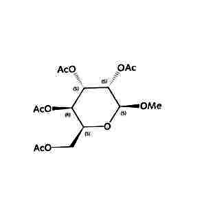 CO[C@H]1O[C@@H](COC(C)=O)[C@@H](OC(C)=O)[C@H](OC(C)=O)[C@@H]1OC(C)=O